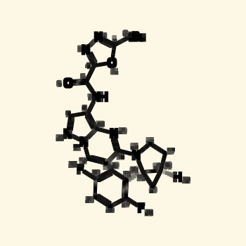 CC(C)(C)c1nnc(C(=O)Nc2cnn3ccc(N4CC[C@H]5C[C@]54c4cc(F)ccc4F)nc23)o1